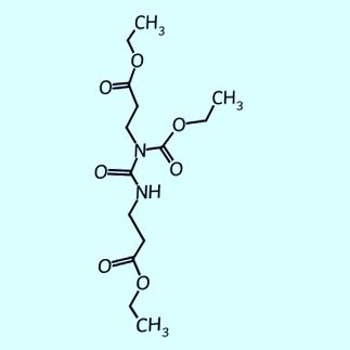 CCOC(=O)CCNC(=O)N(CCC(=O)OCC)C(=O)OCC